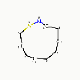 C1CCCC[N]SCCCC1